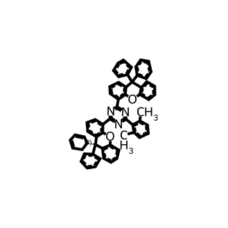 Cc1cccc(C)c1-c1nc(-c2cccc3c2Oc2ccccc2C3(c2ccccc2)c2ccccc2)nc(-c2cccc3c2Oc2ccccc2C3(c2ccccc2)[C@H]2C=CC=CC2)n1